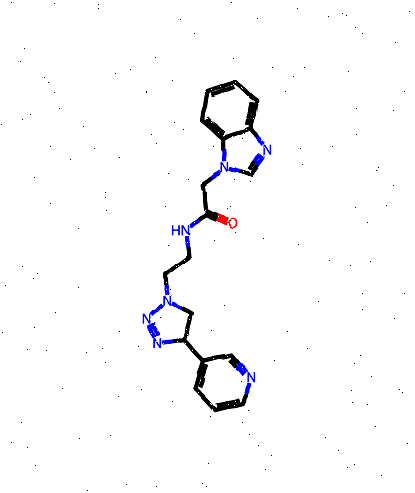 O=C(Cn1cnc2ccccc21)NCCN1CC(c2cccnc2)N=N1